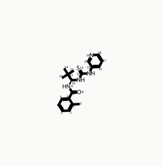 Cc1ccccc1C(=O)N[C@H](NC(=S)Nc1cccnc1)C(C)(C)C